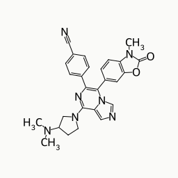 CN(C)C1CCN(c2nc(-c3ccc(C#N)cc3)c(-c3ccc4c(c3)oc(=O)n4C)n3cncc23)C1